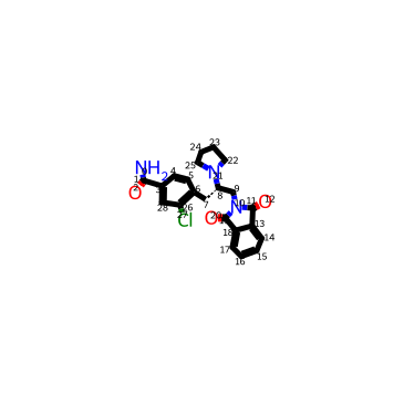 NC(=O)c1ccc(C[C@@H](CN2C(=O)c3ccccc3C2=O)N2CCCC2)c(Cl)c1